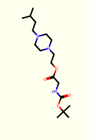 CC(C)CCN1CCN(CCOC(=O)CNC(=O)OC(C)(C)C)CC1